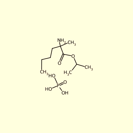 CCCCC(C)(N)C(=O)OC(C)C.O=P(O)(O)O